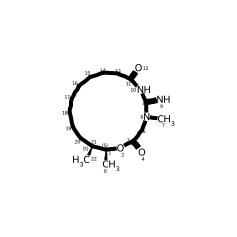 C[C@@H]1OC(=O)CN(C)C(=N)NC(=O)CCCCCCCC[C@@H]1C